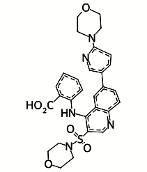 O=C(O)c1ccccc1Nc1c(S(=O)(=O)N2CCOCC2)cnc2ccc(-c3ccc(N4CCOCC4)nc3)cc12